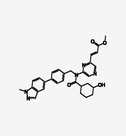 COC(=O)/C=C/c1cncc(N(Cc2ccc(-c3ccc4c(cnn4C)c3)cc2)C(=O)C2CCCC(O)C2)n1